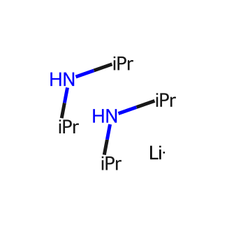 CC(C)NC(C)C.CC(C)NC(C)C.[Li]